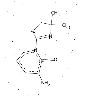 CC1(C)CSC(n2cccc(N)c2=O)=N1